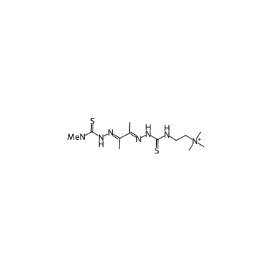 CNC(=S)N/N=C(C)/C(C)=N/NC(=S)NCC[N+](C)(C)C